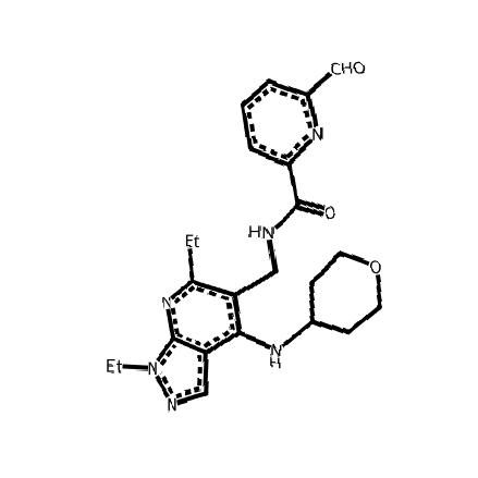 CCc1nc2c(cnn2CC)c(NC2CCOCC2)c1CNC(=O)c1cccc(C=O)n1